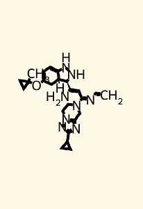 C=C/N=C(\C=C(/N)[C@@H]1NNC2=CC=C(OC3(C)CC3)C[C@@H]21)N1CCn2nc(C3CC3)nc2C1